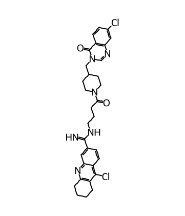 N=C(NCCCC(=O)N1CCC(Cn2cnc3cc(Cl)ccc3c2=O)CC1)c1ccc2c(Cl)c3c(nc2c1)CCCC3